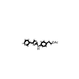 CC(=O)OCCc1ccc(Nc2nc(-c3cccnc3)cs2)cc1